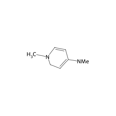 CNC1=CCN(C)C=C1